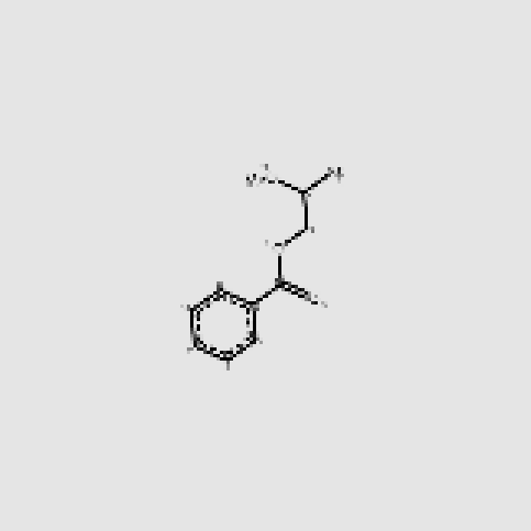 CCC(COC(=O)c1ccccc1)OC